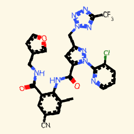 Cc1cc(C#N)cc(C(=O)NCc2ccoc2)c1NC(=O)c1cc(Cn2nnc(C(F)(F)F)n2)nn1-c1ncccc1Cl